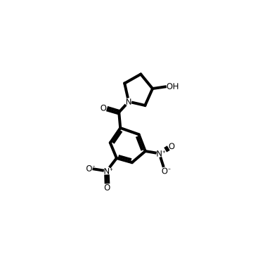 O=C(c1cc([N+](=O)[O-])cc([N+](=O)[O-])c1)N1CCC(O)C1